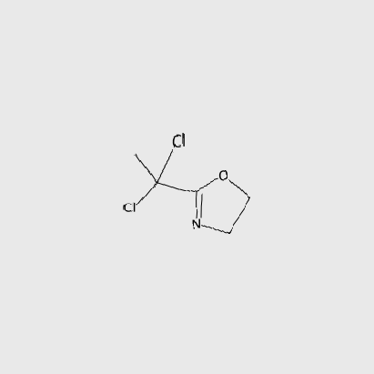 CC(Cl)(Cl)C1=NCCO1